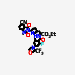 CCOC(=O)[C@H](Cc1ccc(-n2c(=O)c3c(C#N)cccc3n(C)c2=O)nc1)NC(=O)c1c(C)cc(N2CCOC[C@@H]2C(F)(F)F)cc1F